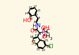 CP(=O)(O)C(C(=O)N/C=C/c1ccccc1O)C1=CSC2C=CC(Cl)=CC12